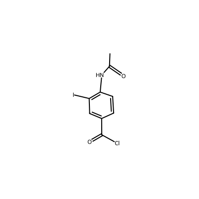 CC(=O)Nc1ccc(C(=O)Cl)cc1I